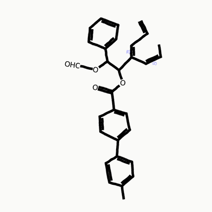 C=C/C=C(\C=C/C)C(OC(=O)c1ccc(-c2ccc(C)cc2)cc1)C(OC=O)c1ccccc1